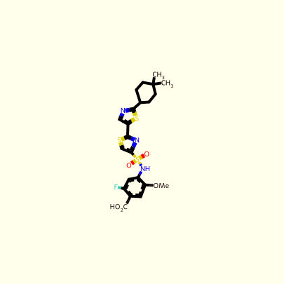 COc1cc(C(=O)O)c(F)cc1NS(=O)(=O)c1csc(-c2cnc(C3CCC(C)(C)CC3)s2)n1